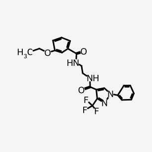 CCOc1cccc(C(=O)NCCNC(=O)c2cn(-c3ccccc3)nc2C(F)(F)F)c1